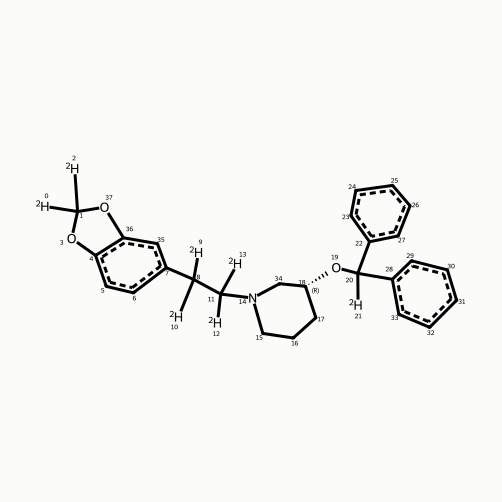 [2H]C1([2H])Oc2ccc(C([2H])([2H])C([2H])([2H])N3CCC[C@@H](OC([2H])(c4ccccc4)c4ccccc4)C3)cc2O1